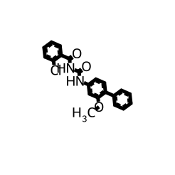 COc1cc(NC(=O)NC(=O)c2ccccc2Cl)ccc1-c1ccccc1